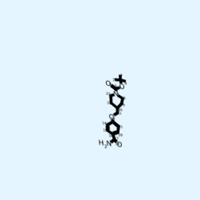 CC(C)(C)OC(=O)N1CCC(COc2ccc(C(N)=O)cc2)CC1